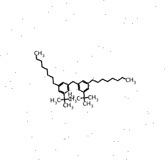 CCCCCCCCc1cc(Cc2[c]c(C(C)(C)C)cc(CCCCCCCC)c2)[c]c(C(C)(C)C)c1